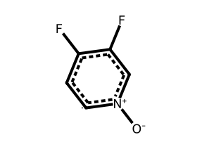 [O-][n+]1[c]cc(F)c(F)c1